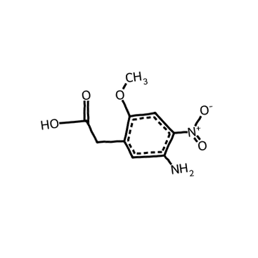 COc1cc([N+](=O)[O-])c(N)cc1CC(=O)O